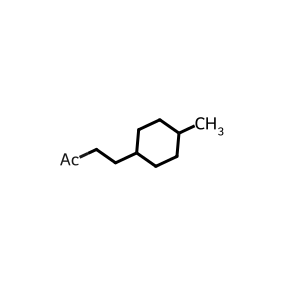 CC(=O)CCC1CCC(C)CC1